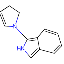 C1=CN(c2[nH]cc3ccccc23)CC1